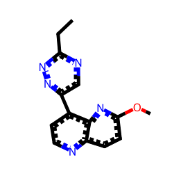 CCc1ncc(-c2ccnc3ccc(OC)nc23)nn1